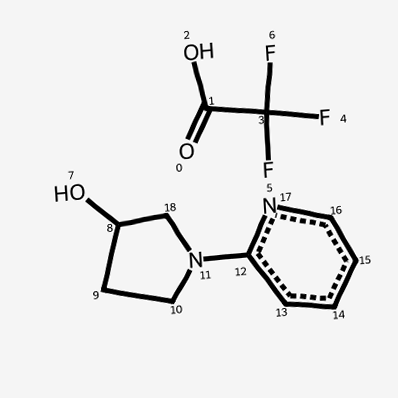 O=C(O)C(F)(F)F.OC1CCN(c2ccccn2)C1